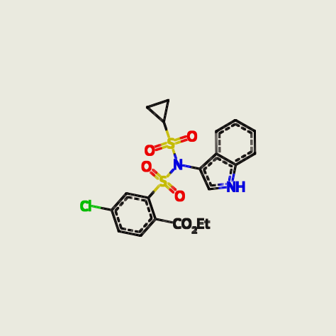 CCOC(=O)c1ccc(Cl)cc1S(=O)(=O)N(c1c[nH]c2ccccc12)S(=O)(=O)C1CC1